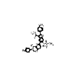 CNC(=O)c1c(-c2ccc(C)cc2)oc2cc(N(C)S(C)(=O)=O)c(-c3ccc4c(n3)C(=O)N(c3ccc(F)cc3)CO4)cc12